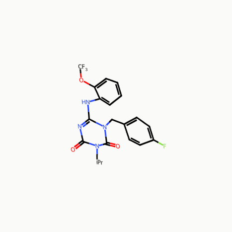 CC(C)n1c(=O)nc(Nc2ccccc2OC(F)(F)F)n(Cc2ccc(F)cc2)c1=O